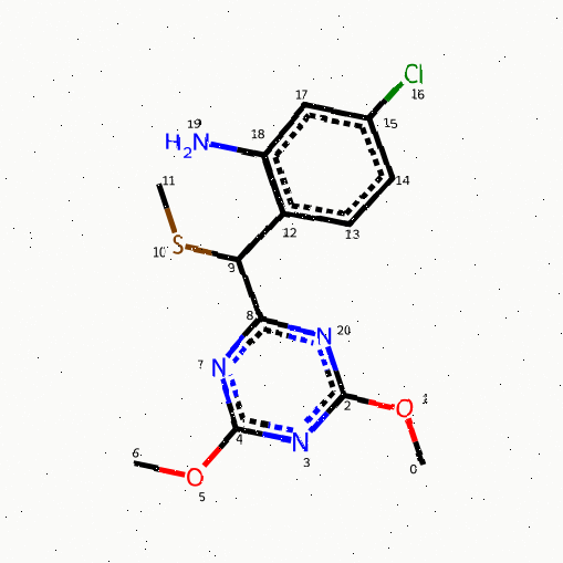 COc1nc(OC)nc(C(SC)c2ccc(Cl)cc2N)n1